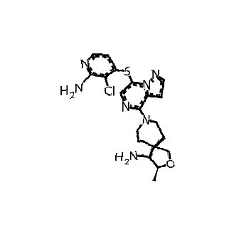 C[C@@H]1OCC2(CCN(c3ncc(Sc4ccnc(N)c4Cl)n4nccc34)CC2)C1N